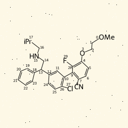 COCCOc1ccc(C#N)c(-c2cc(C(CNCC(C)C)c3ccccc3)ccc2Cl)c1F